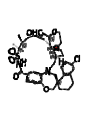 C[C@@H]1[C@@H](C)CCC[C@]2(OCCO[C@@H]2C=O)[C@@H]2CC[C@H]2CN2C[C@@]3(CCCc4cc(Cl)ccc43)COc3ccc(cc32)C(=O)NS1(=O)=O